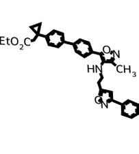 CCOC(=O)CC1(c2ccc(-c3ccc(-c4onc(C)c4NCCc4cc(-c5ccccc5)no4)cc3)cc2)CC1